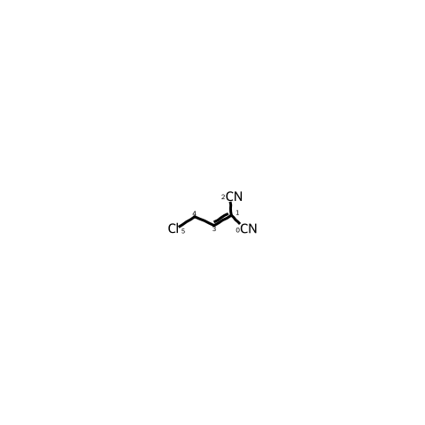 N#CC(C#N)=CCCl